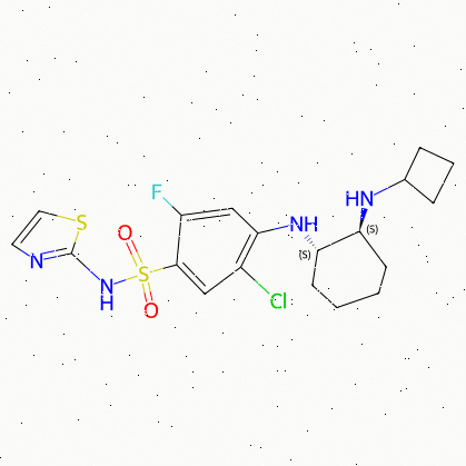 O=S(=O)(Nc1nccs1)c1cc(Cl)c(N[C@H]2CCCC[C@@H]2NC2CCC2)cc1F